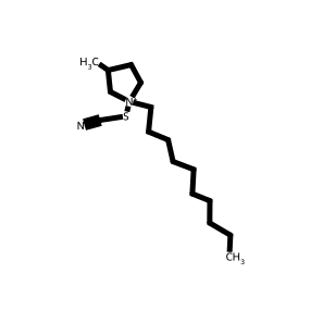 CCCCCCCCCC[N+]1(SC#N)CCC(C)C1